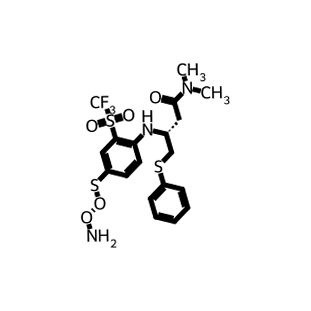 CN(C)C(=O)C[C@H](CSc1ccccc1)Nc1ccc(SOON)cc1S(=O)(=O)C(F)(F)F